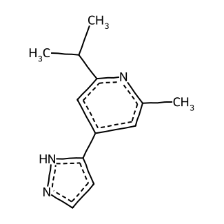 Cc1cc(-c2ccn[nH]2)cc(C(C)C)n1